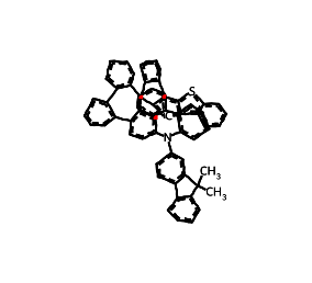 CC1(C)c2ccccc2-c2ccc(N(c3ccc4c(c3)C3(c5ccccc5-c5ccccc5-4)c4ccccc4-c4c3ccc3c4sc4ccccc43)c3ccccc3-c3ccccc3)cc21